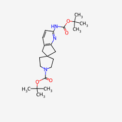 CC(C)(C)OC(=O)Nc1ccc2c(n1)CC1(CCN(C(=O)OC(C)(C)C)CC1)C2